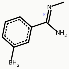 Bc1cccc(/C(N)=N/C)c1